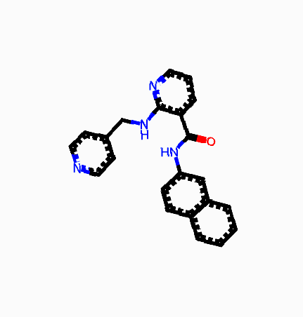 O=C(Nc1ccc2ccccc2c1)c1cccnc1NCc1ccncc1